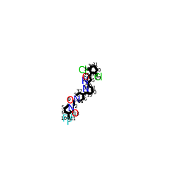 O=C(Cn1cccc(C(F)(F)F)c1=O)N1CCC(c2cccc(C3=NOC(c4c(Cl)cccc4Cl)C3)n2)CC1